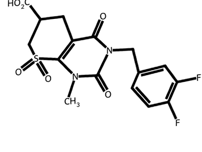 Cn1c2c(c(=O)n(Cc3ccc(F)c(F)c3)c1=O)CC(C(=O)O)CS2(=O)=O